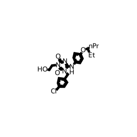 CCCC(CC)Oc1ccc(Nc2nc(=O)n(CCO)c(=O)n2Cc2ccc(Cl)cc2)cc1